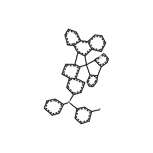 Fc1cccc(N(c2ccccc2)c2ccc3c4c(ccc3c2)-c2c(c3ccccc3c3ccccc23)C42c3ccccc3-c3ccccc32)c1